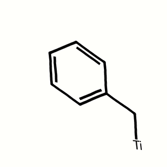 [Ti][CH2]c1ccccc1